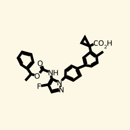 Cc1ccc(-c2ccc(-n3ncc(F)c3NC(=O)OC(C)c3ccccc3)cc2)cc1C1(C(=O)O)CC1